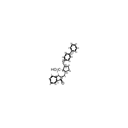 O=C(O)[C@H]1[C@H](CN2Cc3ccccc3C2=O)CC[C@@H]1Sc1ccc(-c2ccccc2)cc1